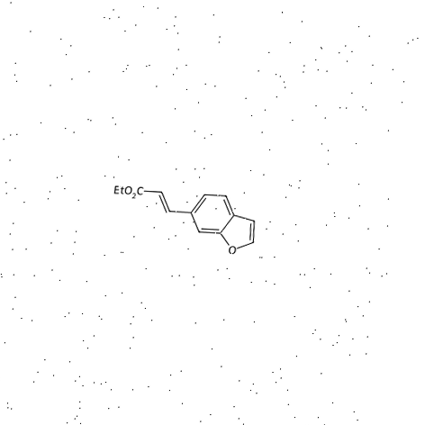 CCOC(=O)C=Cc1ccc2ccoc2c1